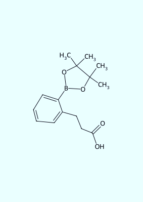 CC1(C)OB(c2ccccc2CCC(=O)O)OC1(C)C